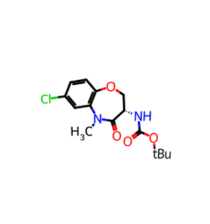 CN1C(=O)[C@@H](NC(=O)OC(C)(C)C)COc2ccc(Cl)cc21